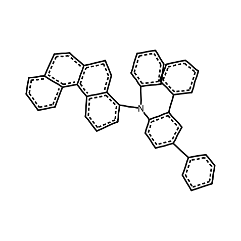 c1ccc(-c2ccc(N(c3ccccc3)c3cccc4c3ccc3ccc5ccccc5c34)c(-c3ccccc3)c2)cc1